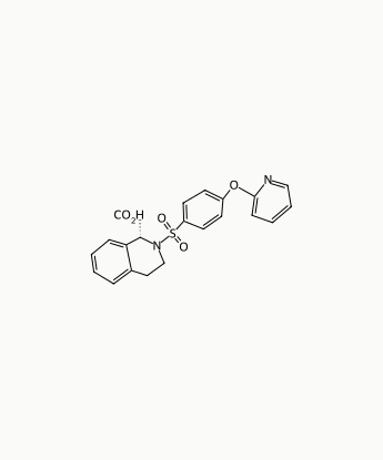 O=C(O)[C@H]1c2ccccc2CCN1S(=O)(=O)c1ccc(Oc2ccccn2)cc1